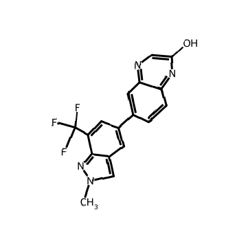 Cn1cc2cc(-c3ccc4nc(O)cnc4c3)cc(C(F)(F)F)c2n1